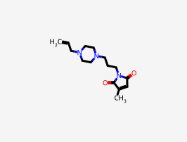 C=CCN1CCN(CCCN2C(=O)C=C(C)C2=O)CC1